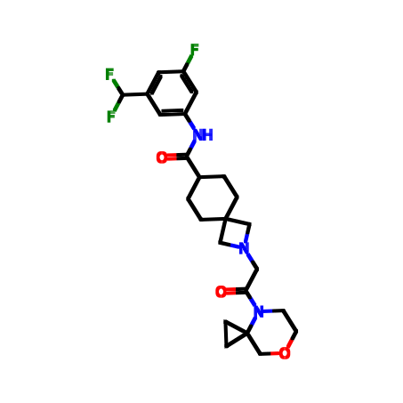 O=C(Nc1cc(F)cc(C(F)F)c1)C1CCC2(CC1)CN(CC(=O)N1CCOCC13CC3)C2